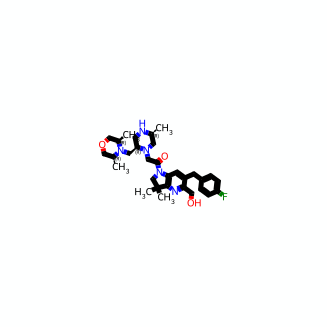 C[C@@H]1CN(CC(=O)N2CC(C)(C)c3nc(CO)c(Cc4ccc(F)cc4)cc32)[C@@H](CN2[C@H](C)COC[C@H]2C)CN1